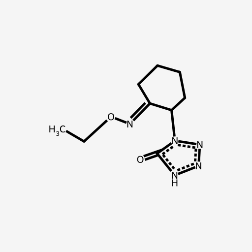 CCON=C1CCCCC1n1nn[nH]c1=O